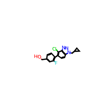 OCc1ccc(-c2ccc3c(nnn3CC3CC3)c2Cl)c(F)c1